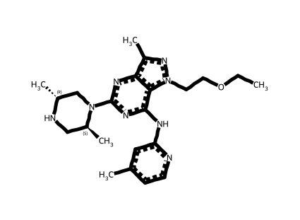 CCOCCn1nc(C)c2nc(N3C[C@@H](C)NC[C@@H]3C)nc(Nc3cc(C)ccn3)c21